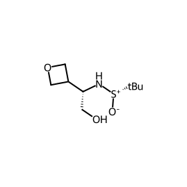 CC(C)(C)[S@+]([O-])N[C@H](CO)C1COC1